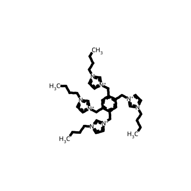 CCCCn1cc[n+](Cc2cc(C[n+]3ccn(CCCC)c3)c(C[n+]3ccn(CCCC)c3)cc2C[n+]2ccn(CCCC)c2)c1